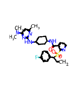 C=CC(c1ccc(F)cc1)S(=O)(=O)c1ncccc1C(=O)NC1CCC(Nc2nc(C)cc(N(C)C)n2)CC1